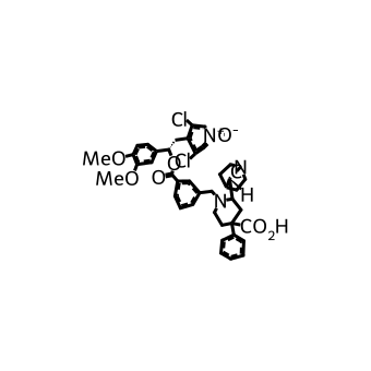 COc1ccc([C@H](Cc2c(Cl)c[n+]([O-])cc2Cl)OC(=O)c2cccc(CN3CCC(C(=O)O)(c4ccccc4)CC3[C@H]3CN4CCC3CC4)c2)cc1OC